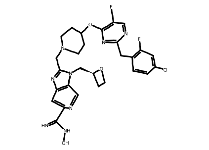 N=C(NO)c1cc2nc(CN3CCC(Oc4nc(Cc5ccc(Cl)cc5F)ncc4F)CC3)n(C[C@@H]3CCO3)c2cn1